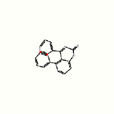 O=c1nc(-c2ccccc2)c2c(-c3ccccc3)cccc2o1